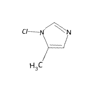 Cc1cncn1Cl